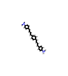 CN(C)c1ccc(C=CC=Cc2ccc(C=CC=Cc3ccc(N(C)C)cc3)cc2)cc1